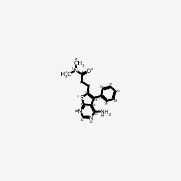 CN(C)C(=O)CCc1sc2ncnc(N)c2c1-c1ccccc1